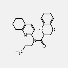 CCCN(C(=O)C1COc2ccccc2O1)c1ccc2c(n1)CCCC2